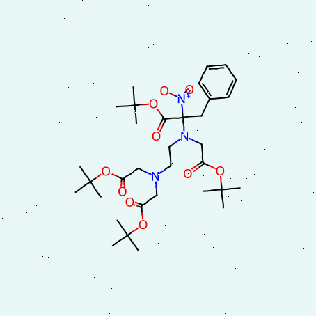 CC(C)(C)OC(=O)CN(CCN(CC(=O)OC(C)(C)C)C(Cc1ccccc1)(C(=O)OC(C)(C)C)[N+](=O)[O-])CC(=O)OC(C)(C)C